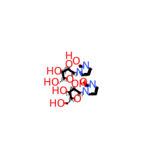 O=c1ncccn1[C@@H]1O[C@H](CO)[C@@H](O)[C@H]1O.O=c1ncccn1[C@@H]1O[C@H](CO)[C@@H](O)[C@H]1O